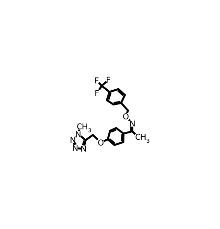 CC(=NOCc1ccc(C(F)(F)F)cc1)c1ccc(OCc2nnnn2C)cc1